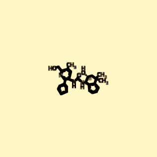 Cc1cc(NC(=O)N[C@@H]2c3ccccc3C(C)(C)C[C@H]2O)c(-c2ccccc2)nc1CO